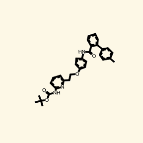 Cc1ccc(-c2ccccc2C(=O)Nc2ccc(OCCc3cccc(NC(=O)OC(C)(C)C)n3)cc2)cc1